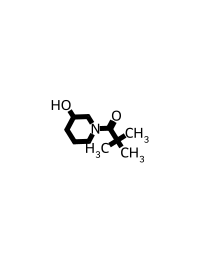 CC(C)(C)C(=O)N1CCCC(O)C1